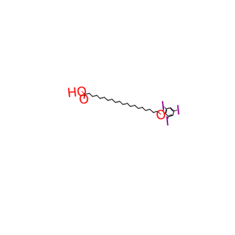 O=C(O)CCCCCCCCCCCCCCCCCCCOc1c(I)cc(I)cc1I